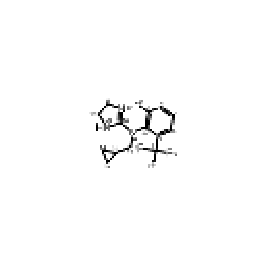 Fc1cccc(C(F)(F)F)c1N(CC1CC1)C1=NCCN1